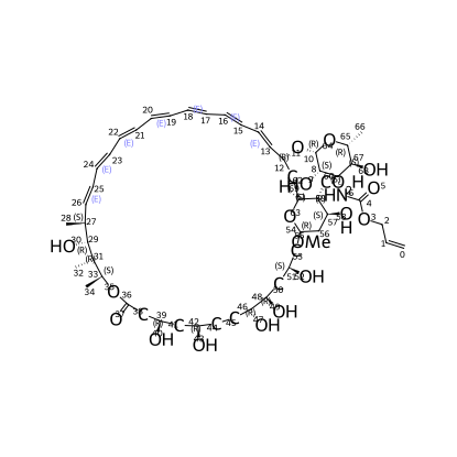 C=CCOC(=O)N[C@@H]1[C@H](O)[C@H](O[C@H]2/C=C/C=C/C=C/C=C/C=C/C=C/C=C/[C@H](C)[C@@H](O)[C@@H](C)[C@H](C)OC(=O)C[C@H](O)C[C@H](O)CC[C@@H](O)[C@H](O)C[C@H](O)C[C@]3(OC)C[C@H](O)[C@@H](C(=O)O)[C@H](C2)O3)O[C@H](C)[C@H]1O